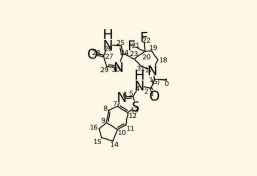 C[C@@H](C(=O)Nc1nc2cc3c(cc2s1)CCC3)N1CCC(F)(F)C(c2c[nH]c(=O)cn2)C1